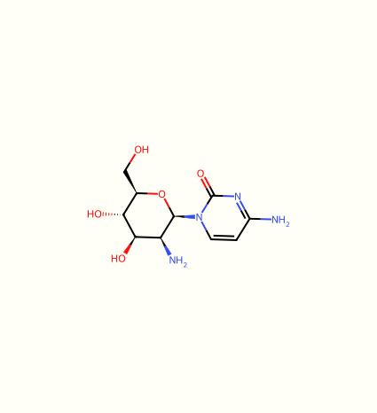 Nc1ccn([C@@H]2O[C@H](CO)[C@@H](O)[C@H](O)[C@@H]2N)c(=O)n1